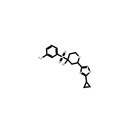 CCC1(S(=O)(=O)c2cccc(C(F)(F)F)c2)CCOC(c2noc(C3CC3)n2)C1